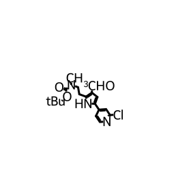 CN(CCc1[nH]c(-c2ccnc(Cl)c2)cc1C=O)C(=O)OC(C)(C)C